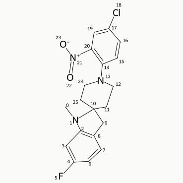 CN1c2cc(F)ccc2CC12CCN(c1ccc(Cl)cc1[N+](=O)[O-])CC2